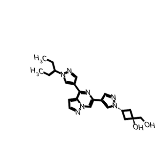 CCC(CC)n1cc(-c2nc(-c3cnn([C@H]4C[C@@](O)(CO)C4)c3)cn3nccc23)cn1